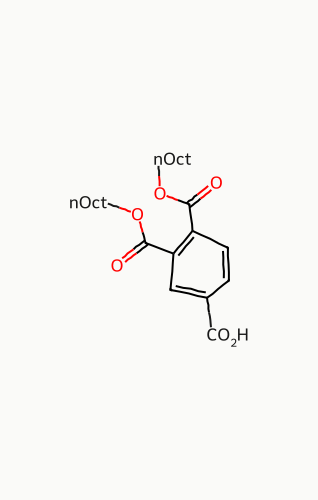 CCCCCCCCOC(=O)c1ccc(C(=O)O)cc1C(=O)OCCCCCCCC